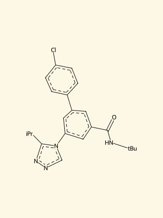 CC(C)c1nncn1-c1cc(C(=O)NC(C)(C)C)cc(-c2ccc(Cl)cc2)c1